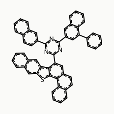 c1ccc(-c2cc(-c3nc(-c4ccc5ccccc5c4)nc(-c4cc5ccc6ccccc6c5c5sc6cc7ccccc7cc6c45)n3)cc3ccccc23)cc1